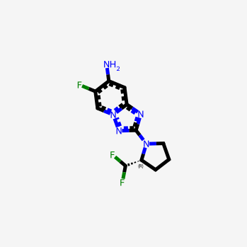 Nc1cc2nc(N3CCC[C@@H]3C(F)F)nn2cc1F